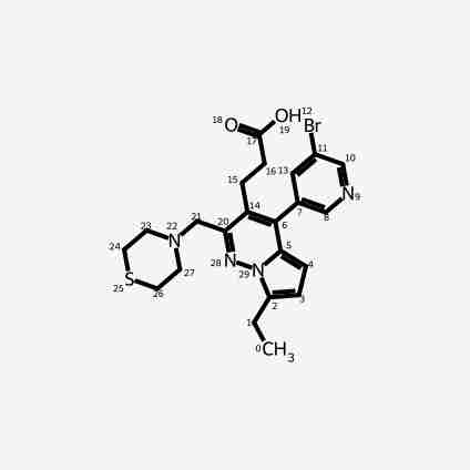 CCc1ccc2c(-c3cncc(Br)c3)c(CCC(=O)O)c(CN3CCSCC3)nn12